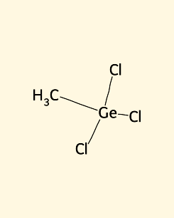 [CH3][Ge]([Cl])([Cl])[Cl]